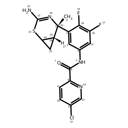 C[C@]1(c2cc(NC(=O)c3ccc(Cl)cn3)cc(F)c2F)N=C(N)SC2C[C@H]21